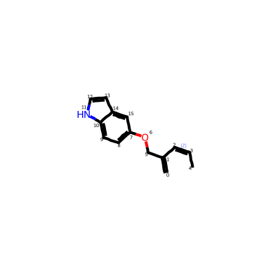 C=C(/C=C\C)COc1ccc2[nH]ccc2c1